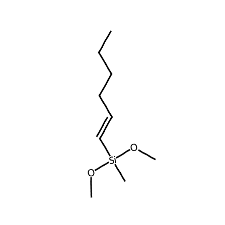 CCCC/C=C/[Si](C)(OC)OC